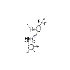 CCCNc1cc(C(F)(F)F)ccc1/C=C/C(=O)N[C@H](C)c1cc(F)c(C)c(F)c1